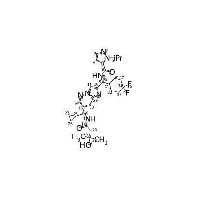 CC(C)n1nccc1C(=O)N[C@H](c1cn2ncc([C@H](NC(=O)CC(C)(C)O)C3CC3)cc2n1)C1CCC(F)(F)CC1